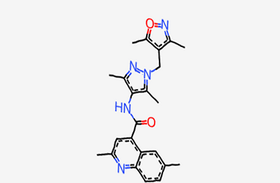 Cc1ccc2nc(C)cc(C(=O)Nc3c(C)nn(Cc4c(C)noc4C)c3C)c2c1